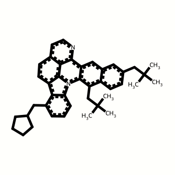 CC(C)(C)Cc1ccc2c(CC(C)(C)C)c3c(cc2c1)c1nccc2ccc4c5c(CC6CCCC6)cccc5n3c4c21